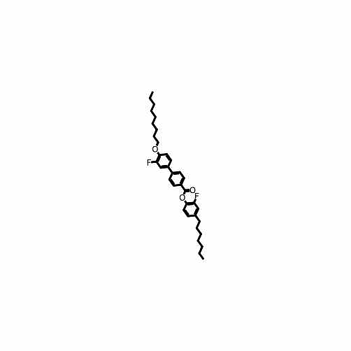 CCCCCCCCCOc1ccc(-c2ccc(C(=O)Oc3ccc(CCCCCCC)cc3F)cc2)cc1F